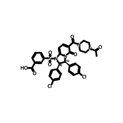 CC(=O)N1CCN(C(=O)c2ccc3n(c2=O)[C@@H](c2ccc(Cl)cc2)[C@@H](c2ccc(Cl)cc2)N3S(=O)(=O)c2cccc(C(=O)O)c2)CC1